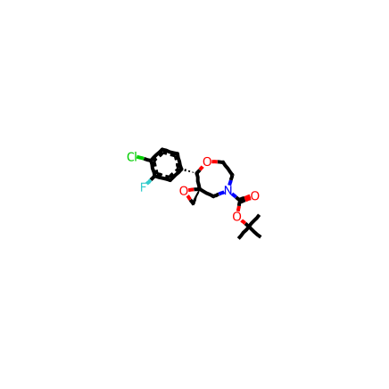 CC(C)(C)OC(=O)N1CCO[C@@H](c2ccc(Cl)c(F)c2)[C@]2(CO2)C1